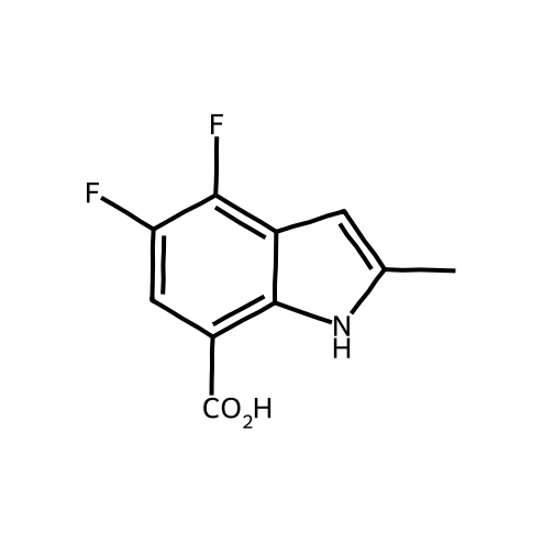 Cc1cc2c(F)c(F)cc(C(=O)O)c2[nH]1